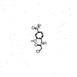 COc1cc([N+](=O)[O-])ccc1NC(=O)CCl